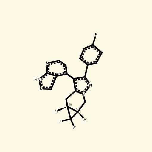 Fc1ccc(-c2nn3c(c2-c2ccnc4[nH]ncc24)C[C@@H]2[C@H](C3)C2(F)F)cc1